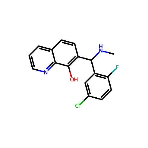 CNC(c1cc(Cl)ccc1F)c1ccc2cccnc2c1O